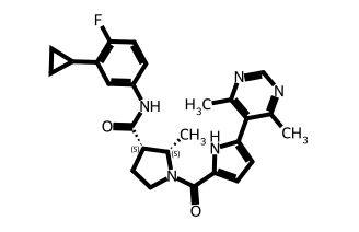 Cc1ncnc(C)c1-c1ccc(C(=O)N2CC[C@H](C(=O)Nc3ccc(F)c(C4CC4)c3)[C@@H]2C)[nH]1